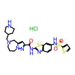 Cl.O=C(Nc1nc2ccc(NS(=O)(=O)c3cccs3)cc2s1)c1cc2n(n1)CCCN(CC1CCNCC1)C2